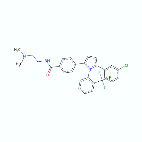 CN(C)CCNC(=O)c1ccc(-c2ccc(-c3cccc(Cl)c3)n2-c2ccccc2C(F)(F)F)cc1